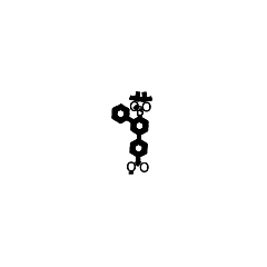 COC(=O)c1ccc(-c2ccc(B3OC(C)(C)C(C)(C)O3)c(-c3ccccc3)c2)cc1